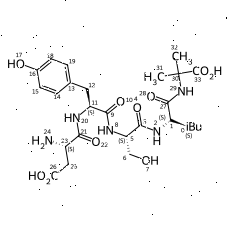 CC[C@H](C)[C@H](NC(=O)[C@H](CO)NC(=O)[C@H](Cc1ccc(O)cc1)NC(=O)[C@@H](N)CC(=O)O)C(=O)NC(C)(C)C(=O)O